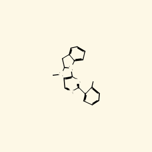 Cc1ccccc1-c1ncc2c(n1)N1c3ccccc3CC1N2C